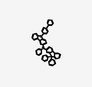 c1ccc(-c2ccc(-n3c4ccccc4c4cc(N(c5ccccc5)c5ccc6c(c5)C(c5ccccc5)(c5ccccc5)c5ccccc5-6)ccc43)cc2)cc1